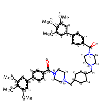 COc1cc(-c2ccc(C(=O)N3CCN(CC4CCC(CN5CCN(C(=O)c6ccc(-c7cc(OC)c(OC)c(OC)c7)cc6)CC5)CC4)CC3)cc2)cc(OC)c1OC